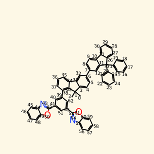 CC1(C)c2ccc(-c3ccc4c(c3)C(c3ccccc3)(c3ccccc3)c3ccccc3-4)cc2-c2cccc(-c3cc(-c4nc5ccccc5o4)cc(-c4nc5ccccc5o4)c3)c21